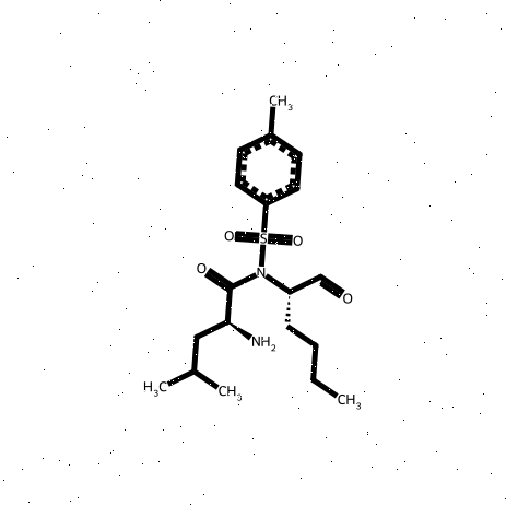 CCCC[C@@H](C=O)N(C(=O)[C@@H](N)CC(C)C)S(=O)(=O)c1ccc(C)cc1